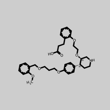 COc1ccccc1COCCCOc1ccc([C@H]2CCNC[C@@H]2OCCOc2ccccc2CCC(=O)O)cc1